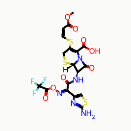 COC(=O)/C=C\SC1=C(C(=O)O)N2C(=O)[C@@H](NC(=O)/C(=N\OC(=O)C(F)(F)F)c3csc(N)n3)[C@@H]2SC1